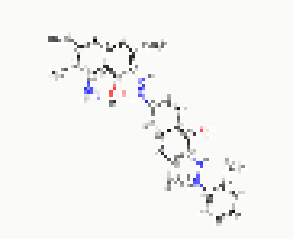 Cc1c(S(=O)(=O)O)cc2cc(S(=O)(=O)O)c(N=Nc3ccc4c(O)c(N=Nc5ccccc5S(=O)(=O)O)c(S(=O)(=O)O)cc4c3)c(O)c2c1N